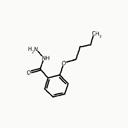 CCCCOc1ccccc1C(=O)NN